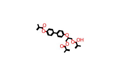 C=C(C)C(=O)OCC(COC(O)C(=C)C)Oc1ccc(-c2ccc(OC(=O)C(=C)C)cc2)cc1